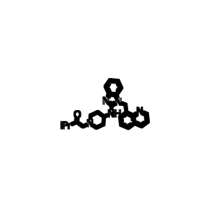 CC(C)C(=O)CN1CCC(Nc2nc3ccccc3n2Cc2cccc3cccnc23)CC1